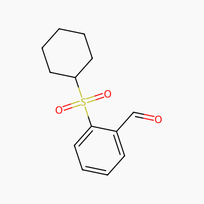 O=Cc1ccccc1S(=O)(=O)C1CCCCC1